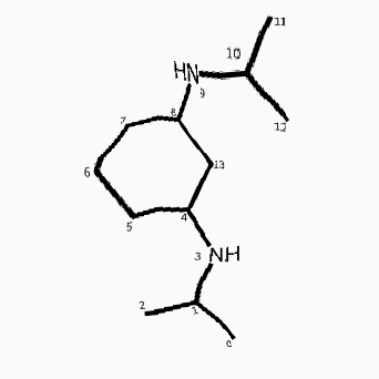 CC(C)NC1CCCC(NC(C)C)C1